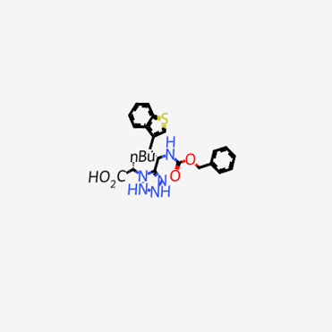 CCCC[C@@H](C(=O)O)N1NNN=C1[C@H](Cc1csc2ccccc12)NC(=O)OCc1ccccc1